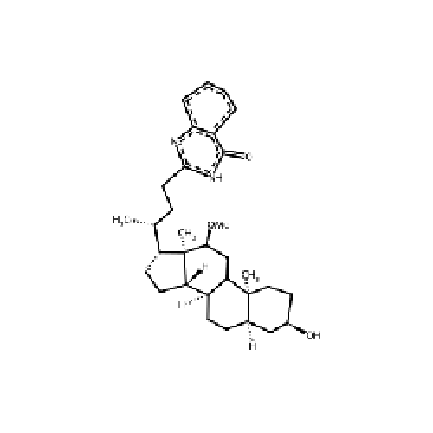 CO[C@H]1CC2[C@@H](CC[C@@H]3C[C@H](O)CC[C@]23C)[C@@H]2CC[C@H]([C@H](C)CCc3nc4ccccc4c(=O)[nH]3)[C@@]12C